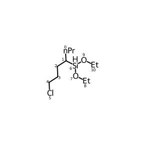 CCCC(CCCCl)[SiH](OCC)OCC